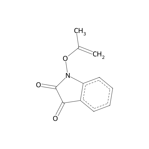 C=C(C)ON1C(=O)C(=O)c2ccccc21